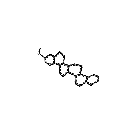 COc1ccc2c(ccc3c2ccc2c4ccc5ccccc5c4ccc32)c1